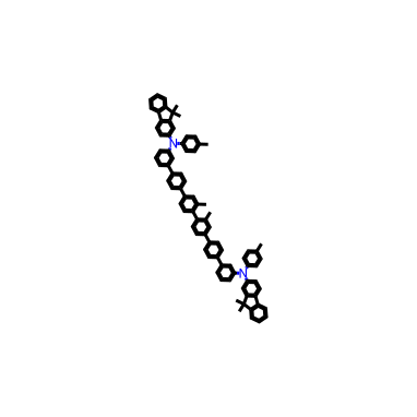 Cc1ccc(N(c2cccc(-c3ccc(-c4ccc(-c5ccc(-c6ccc(-c7cccc(N(c8ccc(C)cc8)c8ccc9c(c8)C(C)(C)c8ccccc8-9)c7)cc6)cc5C)c(C)c4)cc3)c2)c2ccc3c(c2)C(C)(C)c2ccccc2-3)cc1